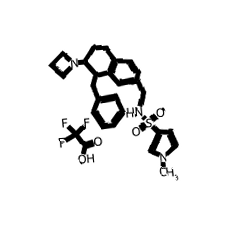 Cn1ccc(S(=O)(=O)NCc2ccc3c(c2)C(Cc2ccccc2)C(N2CCC2)CC3)c1.O=C(O)C(F)(F)F